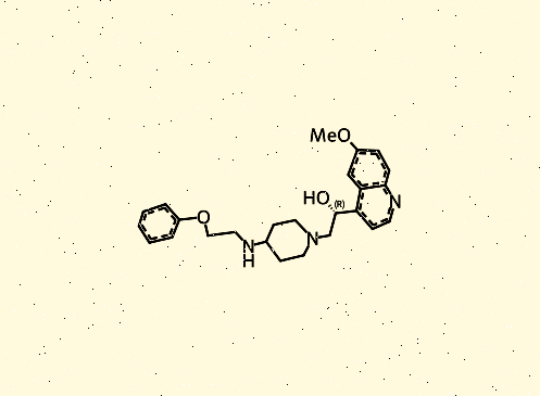 COc1ccc2nccc([C@@H](O)CN3CCC(NCCOc4ccccc4)CC3)c2c1